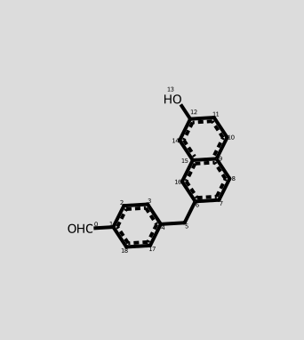 O=Cc1ccc(Cc2ccc3ccc(O)cc3c2)cc1